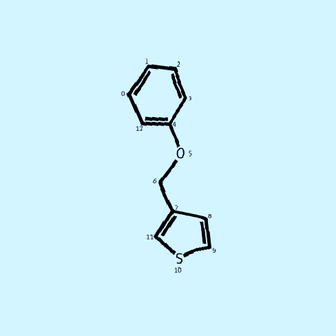 [c]1cccc(OCc2ccsc2)c1